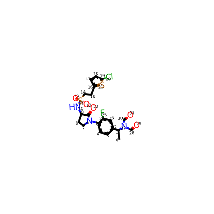 CC(c1ccc(N2CCC(NS(=O)(=O)CCc3ccc(Cl)s3)C2=O)c(F)c1)N(C=O)C=O